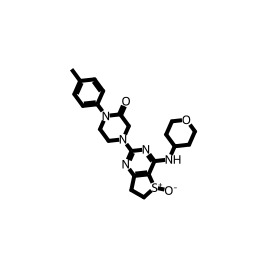 Cc1ccc(N2CCN(c3nc4c(c(NC5CCOCC5)n3)[S+]([O-])CC4)CC2=O)cc1